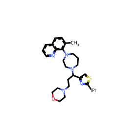 Cc1ccc2cccnc2c1N1CCCN(C(CCN2CCOCC2)c2csc(C(C)C)n2)CC1